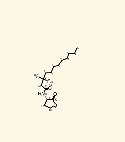 CCCCCCCCCC(F)(F)CC(=O)N[C@H]1CCOC1=O